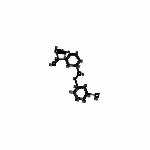 COC(=O)c1cccc(OCc2cccc(Cl)c2)c1